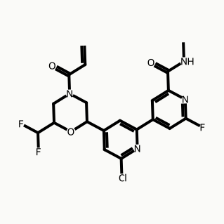 C=CC(=O)N1CC(c2cc(Cl)nc(-c3cc(F)nc(C(=O)NC)c3)c2)OC(C(F)F)C1